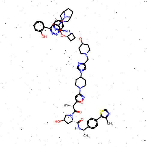 Cc1ncsc1-c1ccc([C@H](C)NC(=O)[C@@H]2C[C@@H](O)CN2C(=O)[C@@H](c2cc(N3CCC(n4cnc(CN5CCC(O[C@H]6C[C@H](Oc7cc(N8C9CCC8CN(c8cc(-c%10ccccc%10O)nnc8N)C9)ccn7)C6)CC5)c4)CC3)no2)C(C)C)cc1